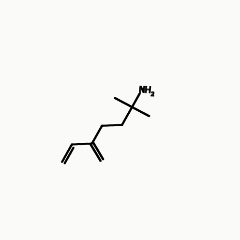 C=CC(=C)CCC(C)(C)N